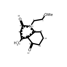 COCCn1c2c(c(C)cc1=O)C(=O)CCC2